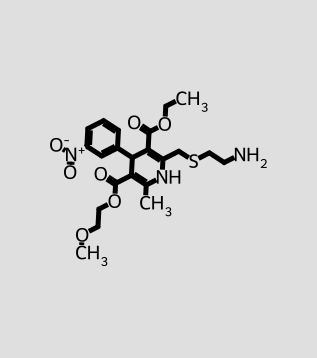 CCOC(=O)C1=C(CSCCN)NC(C)=C(C(=O)OCCOC)C1c1cccc([N+](=O)[O-])c1